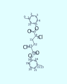 Cc1cccc(OC(=O)C(Cl)CCC(Cl)C(=O)Oc2cccc(C)c2)c1